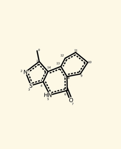 Cc1nsc2[nH]c(=O)c3ccccc3c12